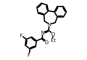 CCOC(=NC(=O)c1cc(F)cc(F)c1)N1Cc2ccccc2-c2ccccc2C1